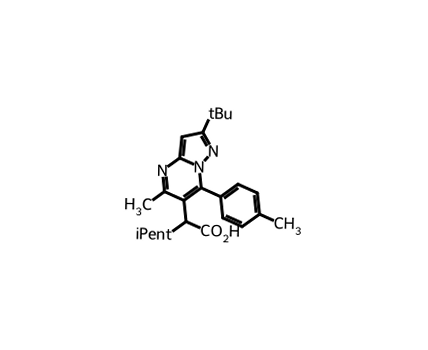 CCCC(C)C(C(=O)O)c1c(C)nc2cc(C(C)(C)C)nn2c1-c1ccc(C)cc1